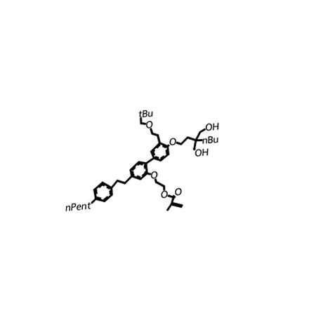 C=C(C)C(=O)OCCOc1cc(CCc2ccc(CCCCC)cc2)ccc1-c1ccc(OCCC(CO)(CO)CCCC)c(CCOCC(C)(C)C)c1